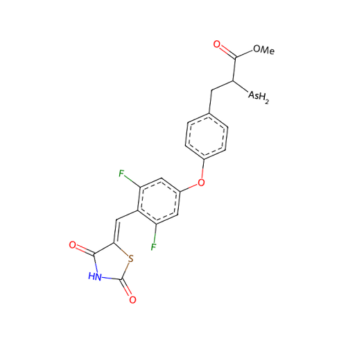 COC(=O)C([AsH2])Cc1ccc(Oc2cc(F)c(C=C3SC(=O)NC3=O)c(F)c2)cc1